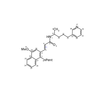 CCCCCc1c(/C=C/C(=O)NC(C)CCCc2cccnc2)cc(OC)c2ccccc12